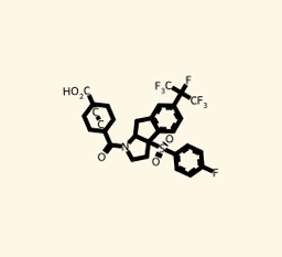 O=C(O)C12CCC(C(=O)N3CCC4(S(=O)(=O)c5ccc(F)cc5)c5ccc(C(F)(C(F)(F)F)C(F)(F)F)cc5CC34)(CC1)CC2